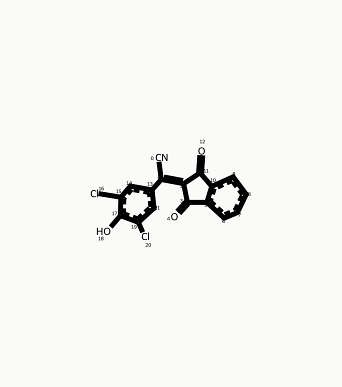 N#CC(=C1C(=O)c2ccccc2C1=O)c1cc(Cl)c(O)c(Cl)c1